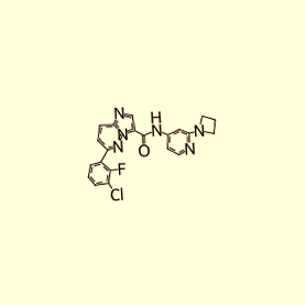 O=C(Nc1ccnc(N2CCC2)c1)c1cnc2ccc(-c3cccc(Cl)c3F)nn12